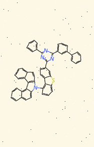 c1ccc(-c2cccc(-c3nc(-c4ccccc4)nc(-c4ccc5c(c4)sc4cccc(-n6c7ccc8ccccc8c7c7c8ccccc8ccc76)c45)n3)c2)cc1